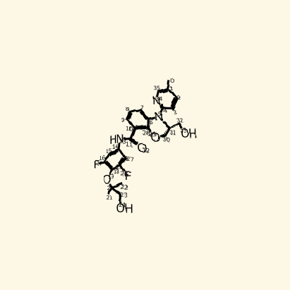 Cc1ccc(N2c3cccc(C(=O)Nc4cc(F)c(OC(C)(C)CO)c(F)c4)c3OC[C@@H]2CO)nc1